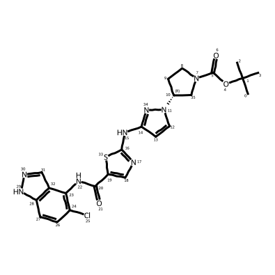 CC(C)(C)OC(=O)N1CC[C@@H](n2ccc(Nc3ncc(C(=O)Nc4c(Cl)ccc5[nH]ncc45)s3)n2)C1